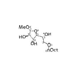 CCCCCCCCOC[C@@H](O)[C@@H]1OC(OC)[C@H](O)[C@H]1O